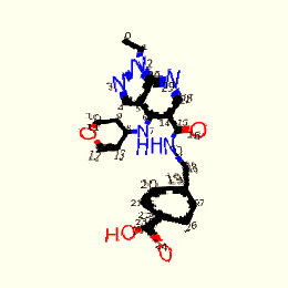 CCn1ncc2c(NC3CCOCC3)c(C(=O)NCc3ccc(C(=O)O)cc3)cnc21